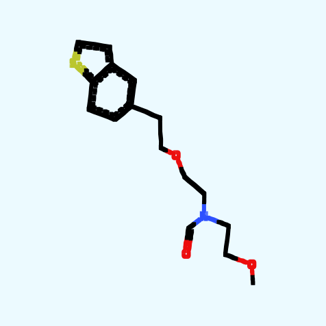 COCCN(C=O)CCOCCc1ccc2sccc2c1